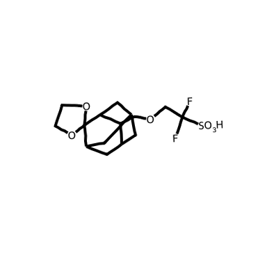 O=S(=O)(O)C(F)(F)COCC1C2CC3CC(C2)C2(OCCO2)C1C3